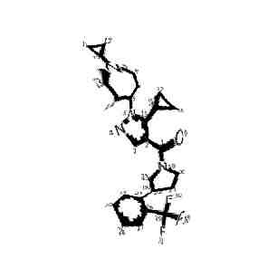 O=C(c1cnn(C2CCN(C3CC3)CC2)c1C1CC1)N1CC[C@@H](c2ccccc2C(F)(F)F)C1